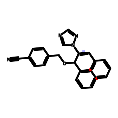 N#Cc1ccc(COC(/C(=C\c2ccccc2)n2cncn2)c2ccccc2)cc1